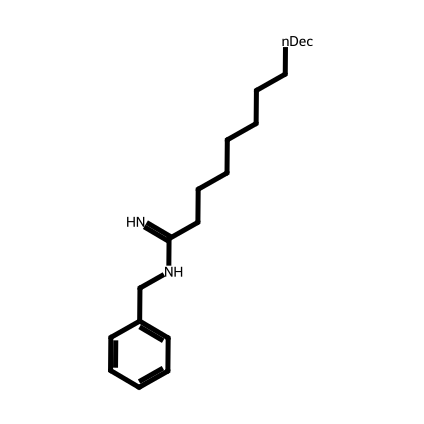 CCCCCCCCCCCCCCCCCC(=N)NCc1ccccc1